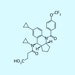 O=C(O)CCC(=O)N(C1CC1)[C@H]1c2cc(C3CC3)ccc2N(C(=O)c2ccc(OC(F)(F)F)cc2)[C@@H]2CCC[C@@H]21